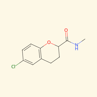 CNC(=O)C1CCc2cc(Cl)ccc2O1